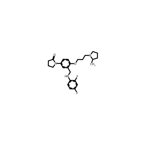 CC1CCCN1CCCOc1ccc(N2CCCC2=O)cc1CNc1ccc(F)cc1F